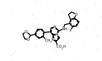 Cc1cc(C2OCCO2)ccc1-c1cnc(NCc2c(F)ccc3c2CCO3)n2cc(C(=O)O)nc12